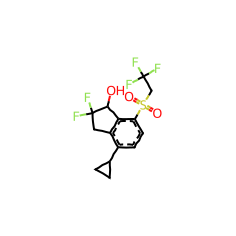 O=S(=O)(CC(F)(F)F)c1ccc(C2CC2)c2c1C(O)C(F)(F)C2